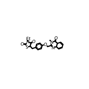 CCN1C(=O)SC(Cc2ccc(OCC3=NC4C=CC=CC4C(=O)N3C)cc2)C1=O